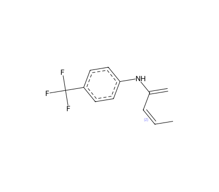 C=C(/C=C\C)Nc1ccc(C(F)(F)F)cc1